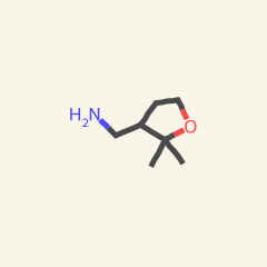 CC1(C)OCCC1CN